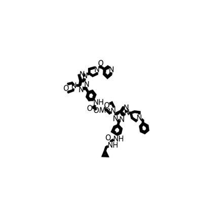 COC(=O)Nc1ccc(-c2nc(N3CCOCC3)c3cnn(C4CCN(C(=O)c5cccnc5)CC4)c3n2)cc1.O=C(NCC1CC1)Nc1ccc(-c2nc(N3CCOCC3)c3cnn(C4CCN(Cc5ccccc5)CC4)c3n2)cc1